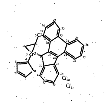 C[CH]1[CH2][Zr+2]1([C]1=CC=CC1)[CH]1c2ccccc2-c2c1c1ccccc1c1ccccc21.[Cl-].[Cl-]